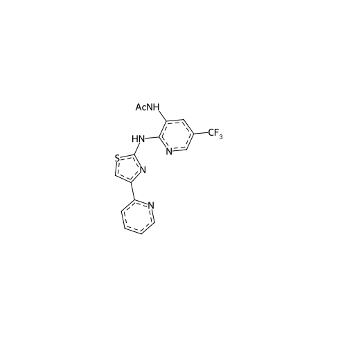 CC(=O)Nc1cc(C(F)(F)F)cnc1Nc1nc(-c2ccccn2)cs1